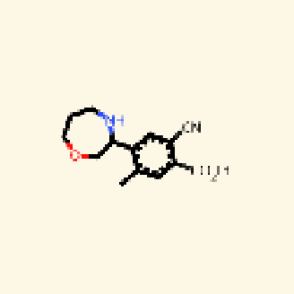 CCOC(=O)c1cc(C)c(C2COCCCN2)cc1C#N